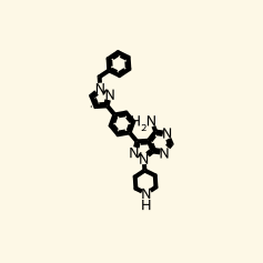 Nc1ncnc2c1c(-c1ccc(-c3[c]cn(Cc4ccccc4)n3)cc1)nn2C1CCNCC1